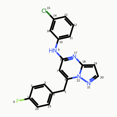 Fc1ccc(Cc2cc(Nc3cccc(Cl)c3)nc3ccnn23)cc1